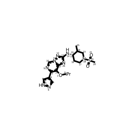 CC(C)Oc1c(-c2cn[nH]c2)ncn2nc(N[C@H]3CCN(S(C)(=O)=O)CC3C)nc12